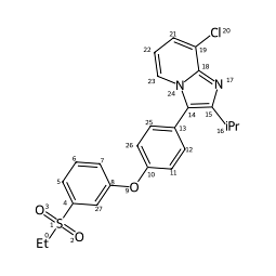 CCS(=O)(=O)c1cccc(Oc2ccc(-c3c(C(C)C)nc4c(Cl)cccn34)cc2)c1